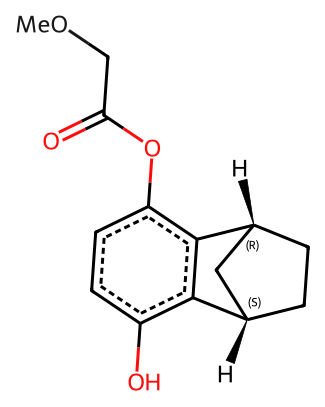 COCC(=O)Oc1ccc(O)c2c1[C@@H]1CC[C@H]2C1